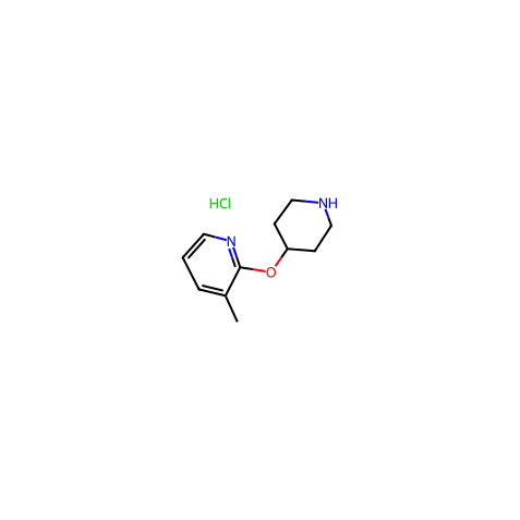 Cc1cccnc1OC1CCNCC1.Cl